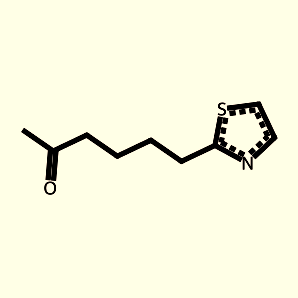 CC(=O)CCCCc1nccs1